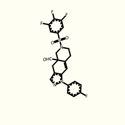 O=CC12Cc3cnn(-c4ccc(F)cc4)c3C=C1CCN(S(=O)(=O)c1cc(F)c(F)c(F)c1)C2